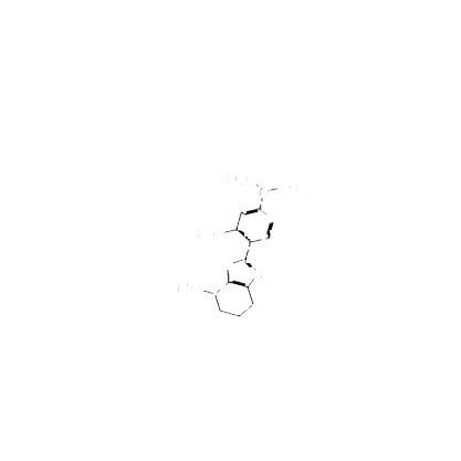 CN(C)c1ccc(-c2nc3c(s2)C(O)CCC3)c(C(F)(F)F)c1